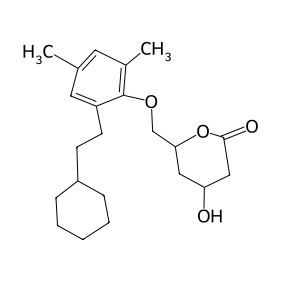 Cc1cc(C)c(OCC2CC(O)CC(=O)O2)c(CCC2CCCCC2)c1